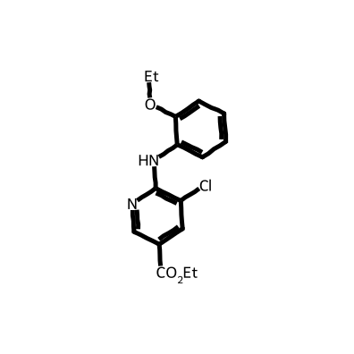 CCOC(=O)c1cnc(Nc2ccccc2OCC)c(Cl)c1